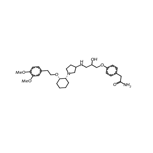 COc1ccc(CCO[C@H]2CCCC[C@H]2N2CCC(NCC(O)COc3ccc(CC(N)=O)cc3)C2)cc1OC